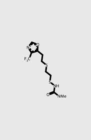 CNC(=O)NSCCSCCc1ocnc1C(F)(F)F